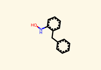 ONc1ccccc1Cc1ccccc1